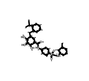 Cc1cccc(NS(=O)(=O)c2ccc(NC(=O)c3cc(Cc4ccccc4C(C)C)c(O)c(O)c3O)cc2)c1